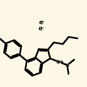 CCCCC1=Cc2c(-c3ccc(C)cc3)cccc2[CH]1[Zr+2][Si](C)C.[Cl-].[Cl-]